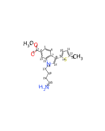 COC(=O)c1ccc2c(-c3ccc(C)s3)cn(CCCCN)c2c1